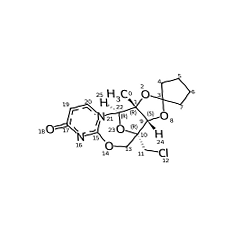 C[C@@]12OC3(CCCC3)O[C@@H]1[C@@]1(CCl)COc3nc(=O)ccn3[C@@H]2O1